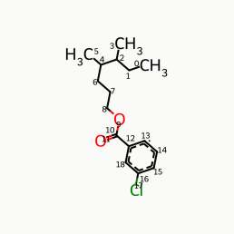 CCC(C)C(C)CCCOC(=O)c1[c]ccc(Cl)c1